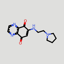 O=C1C=C(NCCN2CCCC2)C(=O)c2nccnc21